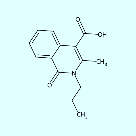 CCCn1c(C)c(C(=O)O)c2ccccc2c1=O